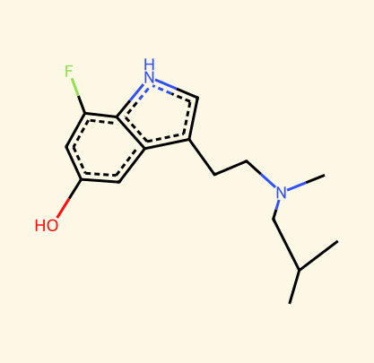 CC(C)CN(C)CCc1c[nH]c2c(F)cc(O)cc12